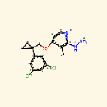 Cc1c(OCC2(c3cc(Cl)cc(Cl)c3)CC2)ccnc1NN